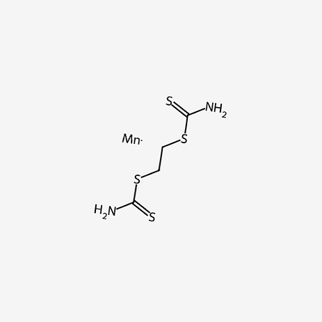 NC(=S)SCCSC(N)=S.[Mn]